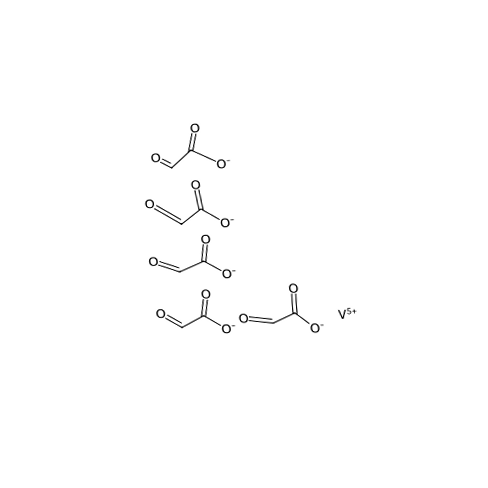 O=CC(=O)[O-].O=CC(=O)[O-].O=CC(=O)[O-].O=CC(=O)[O-].O=CC(=O)[O-].[V+5]